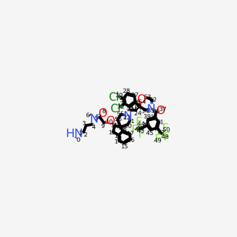 CNCCCN(C)C(=O)CO[C@H]1Cc2ccccc2C12CCN(CC[C@]1(c3ccc(Cl)c(Cl)c3)CN(C(=O)c3cc(C(F)(F)F)cc(C(F)(F)F)c3)CCO1)CC2